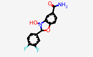 NC(=O)c1ccc2c(c1)N(O)C(c1ccc(F)c(F)c1)O2